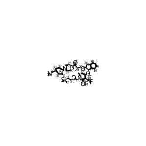 C[Si](C)(C)CCOCn1ncc(OC2c3ccccc3CC2OCCC(=O)N2CCN(c3ccc(C#N)cn3)CC2)c(C(F)(F)F)c1=O